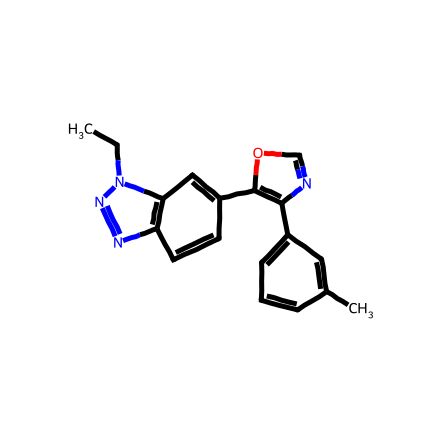 CCn1nnc2ccc(-c3ocnc3-c3cccc(C)c3)cc21